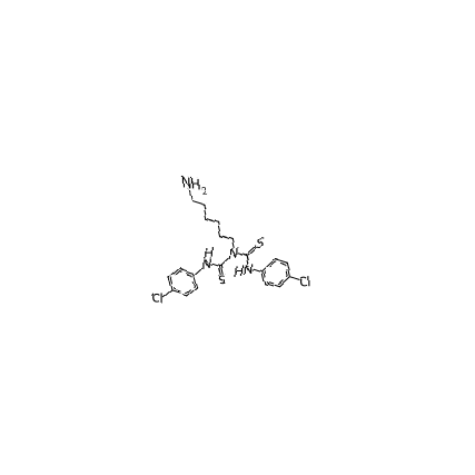 NCCCCCCN(C(=S)Nc1ccc(Cl)cc1)C(=S)Nc1ccc(Cl)cc1